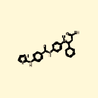 O=C(O)CC(c1ccccc1)[S+]([O-])c1ccc(NC(=O)c2ccc(Nc3ncc[nH]3)cc2)cc1